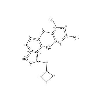 Nc1cc(C(F)(F)F)c(Oc2ccc3[nH]cc(CC4CCC4)c3c2)c(C(F)(F)F)c1